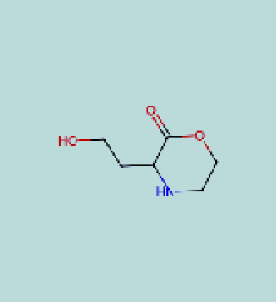 O=C1OCCNC1CCO